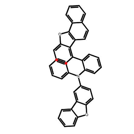 c1ccc(N(c2ccc3oc4ccccc4c3c2)c2ccccc2-c2cccc3oc4c5ccccc5ccc4c23)cc1